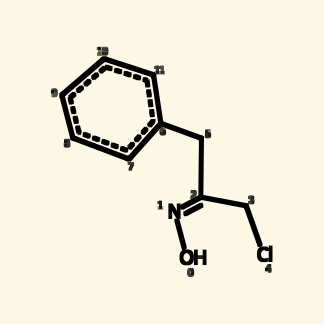 ON=C(CCl)Cc1ccccc1